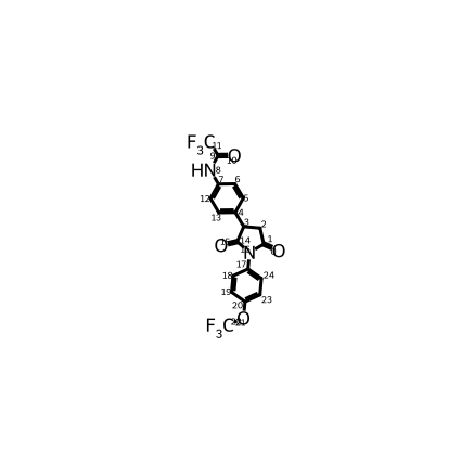 O=C1CC(c2ccc(NC(=O)C(F)(F)F)cc2)C(=O)N1c1ccc(OC(F)(F)F)cc1